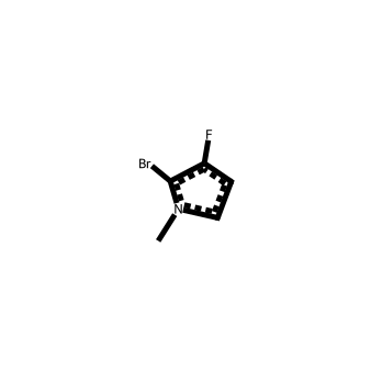 Cn1ccc(F)c1Br